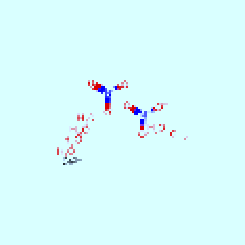 O.O.O.O.O.O.O=[N+]([O-])[O-].O=[N+]([O-])[O-].[Ce+2]